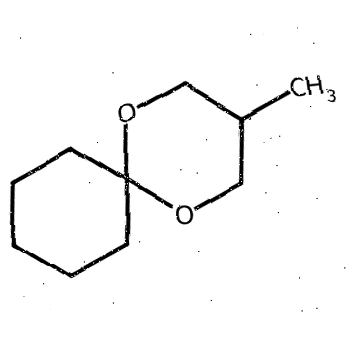 C[C]1COC2(CCCCC2)OC1